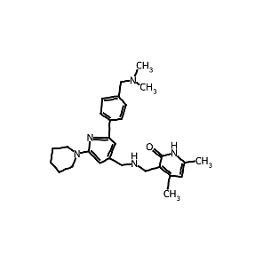 Cc1cc(C)c(CNCc2cc(-c3ccc(CN(C)C)cc3)nc(N3CCCCC3)c2)c(=O)[nH]1